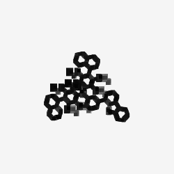 Bc1c(B)c(N(c2cccc(-c3cccc4c3sc3ccccc34)c2)c2c(B)c(B)c(-c3cccc4ccccc34)c(B)c2B)c(B)c(B)c1-c1cccc2ccccc12